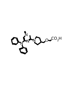 C=N/C=C(\N=C(/C)N1CCC(COCC(=O)O)CC1)N(c1ccccc1)c1ccccc1